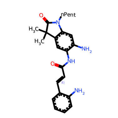 CCCCCN1C(=O)C(C)(C)c2cc(NC(=O)/C=C/c3ccccc3N)c(N)cc21